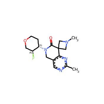 Cc1ncc2c(n1)C1(CN(C)C1)C(=O)N([C@H]1CCOC[C@@H]1F)C2